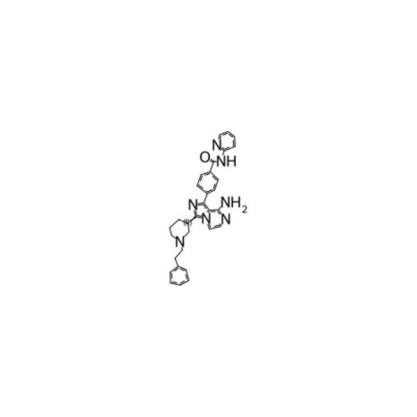 Nc1nccn2c([C@@H]3CCCN(CCc4ccccc4)C3)nc(-c3ccc(C(=O)Nc4ccccn4)cc3)c12